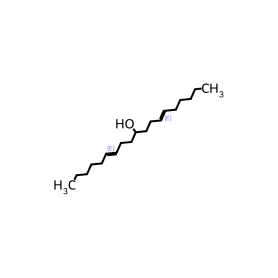 CCCCC/C=C/CCC(O)CC/C=C/CCCCC